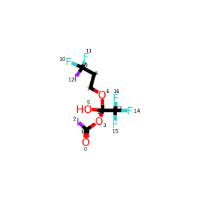 O=C(I)OC(O)(OCCC(F)(F)I)C(F)(F)F